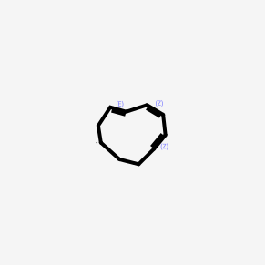 [CH]1C/C=C/C=C\C=C/CC1